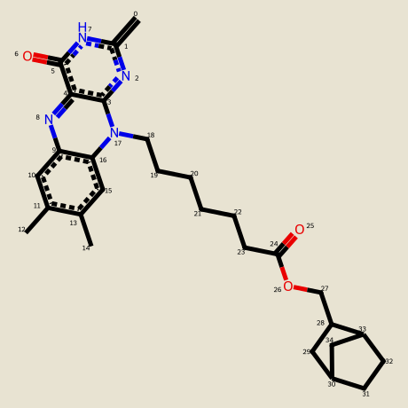 C=c1nc2c(c(=O)[nH]1)=Nc1cc(C)c(C)cc1N2CCCCCCC(=O)OCC1CC2CCC1C2